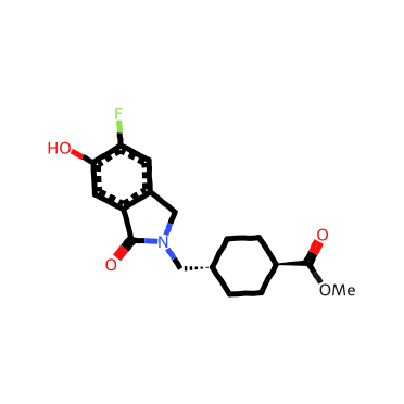 COC(=O)[C@H]1CC[C@H](CN2Cc3cc(F)c(O)cc3C2=O)CC1